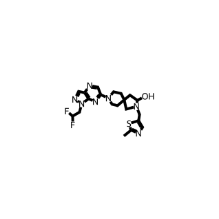 Cc1ncc(CN2CC3(CCN(c4cnc5cnn(CC(F)F)c5n4)CC3)CC2O)s1